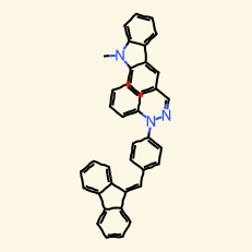 Cn1c2ccccc2c2cc(/C=N\N(c3ccccc3)c3ccc(C=C4c5ccccc5-c5ccccc54)cc3)ccc21